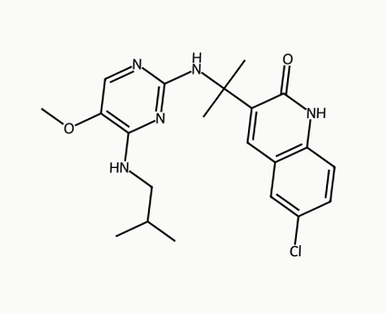 COc1cnc(NC(C)(C)c2cc3cc(Cl)ccc3[nH]c2=O)nc1NCC(C)C